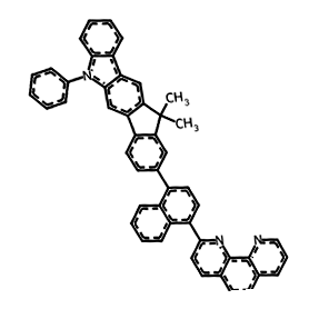 CC1(C)c2cc(-c3ccc(-c4ccc5ccc6cccnc6c5n4)c4ccccc34)ccc2-c2cc3c(cc21)c1ccccc1n3-c1ccccc1